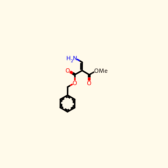 COC(=O)/C(=C/N)C(=O)OCc1ccccc1